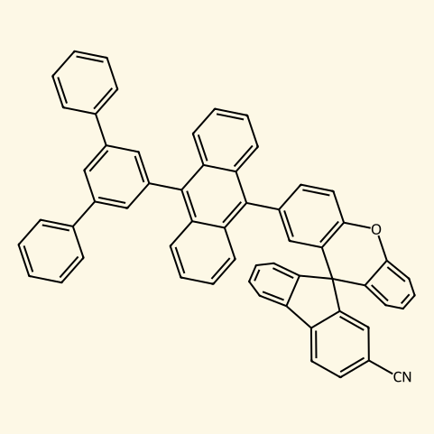 N#Cc1ccc2c(c1)C1(c3ccccc3Oc3ccc(-c4c5ccccc5c(-c5cc(-c6ccccc6)cc(-c6ccccc6)c5)c5ccccc45)cc31)c1ccccc1-2